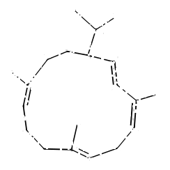 CC1=C/C/C=C(\C)CC/C=C(/C)CCC(C(C)C)\C=C\1